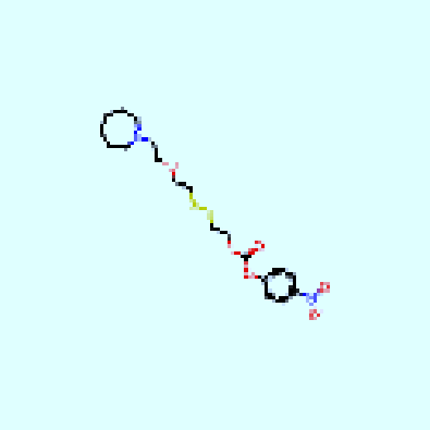 O=C(OCCSSCCOCCN1CCCCCC1)Oc1ccc([N+](=O)[O-])cc1